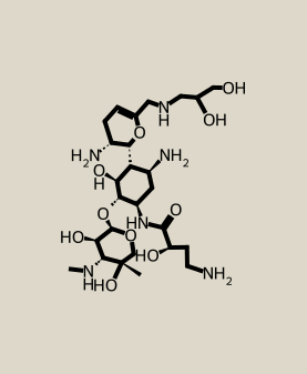 CN[C@@H]1[C@@H](O)[C@@H](O[C@H]2[C@H](NC(=O)[C@H](O)CCN)C[C@H](N)C([C@H]3OC(CNCC(O)CO)=CC[C@H]3N)[C@@H]2O)OC[C@]1(C)O